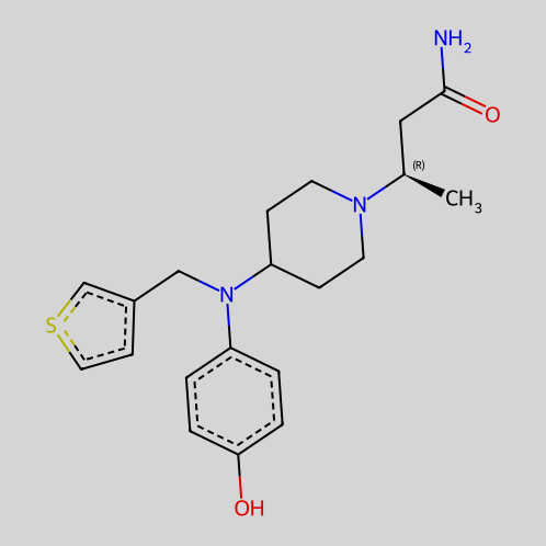 C[C@H](CC(N)=O)N1CCC(N(Cc2ccsc2)c2ccc(O)cc2)CC1